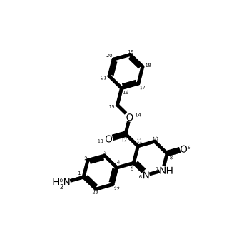 Nc1ccc(C2=NNC(=O)CC2C(=O)OCc2ccccc2)cc1